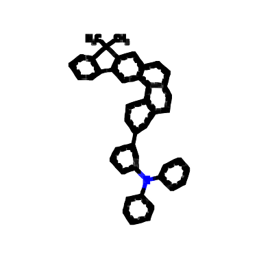 CC1(C)c2ccccc2-c2cc3c(ccc4ccc5cc(-c6cccc(N(c7ccccc7)c7ccccc7)c6)ccc5c43)cc21